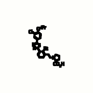 CCc1c(CCN2CCC[C@H]2C(=O)O)cccc1-c1nnc(-c2ccc(OC(C)C)c(Cl)c2)s1